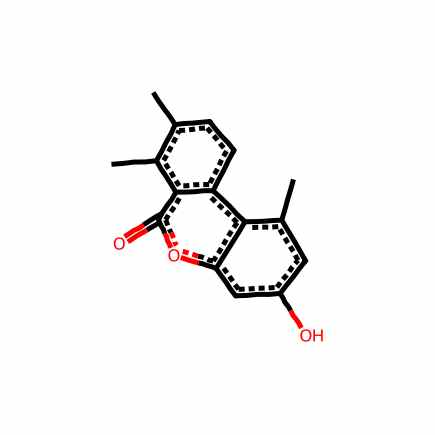 Cc1ccc2c(c1C)c(=O)oc1cc(O)cc(C)c12